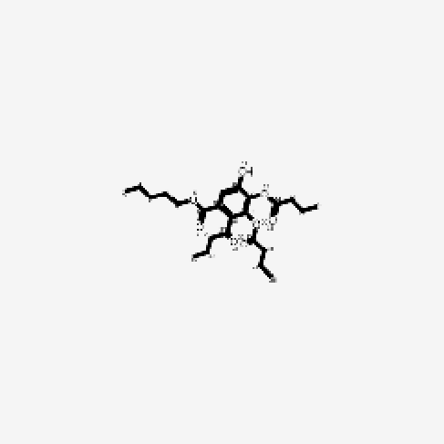 CCCCCOC(=O)c1cc(O)c(OC(=O)CCC)c(OC(=O)CCC)c1C(=O)CCC